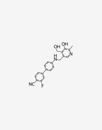 Cc1ncc(CNc2ccc(-c3ccc(C#N)c(F)c3)cc2)c(CO)c1O